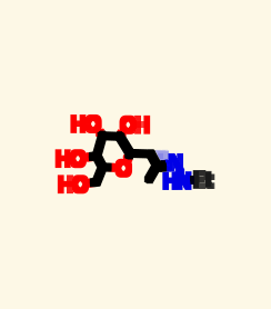 CCN/N=C(\C)CC1OC(CO)C(O)C(O)C1O